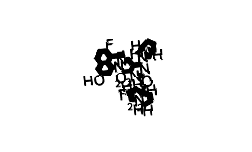 [2H]C1([2H])CC[C@@]2(C([2H])([2H])Oc3nc(N4C[C@H]5CC[C@@H](C4)N5)c4cnn(-c5cc(O)cc6ccc(F)c(C#C)c56)c(=O)c4n3)C[C@@]([2H])(F)CN12